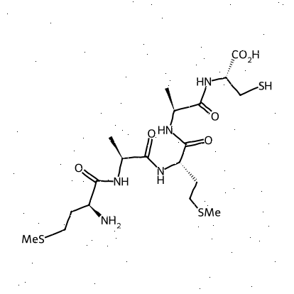 CSCC[C@H](NC(=O)[C@H](C)NC(=O)[C@@H](N)CCSC)C(=O)N[C@@H](C)C(=O)N[C@@H](CS)C(=O)O